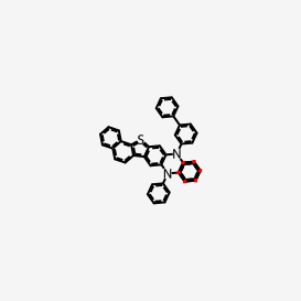 c1ccc(-c2cccc(N(c3ccccc3)c3cc4sc5c6ccccc6ccc5c4cc3N(c3ccccc3)c3ccccc3)c2)cc1